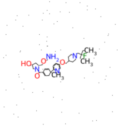 CCC(F)(CC)CN1CCC(COc2ccc(C3(C)C=CC(C(=O)N4CC(O)CC4COCN)=CC3)nc2)CC1